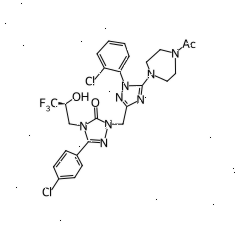 CC(=O)N1CCN(c2nc(Cn3nc(-c4ccc(Cl)cc4)n(C[C@H](O)C(F)(F)F)c3=O)nn2-c2ccccc2Cl)CC1